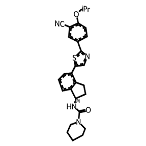 CC(C)Oc1ccc(-c2ncc(-c3cccc4c3CC[C@H]4NC(=O)N3CCCCC3)s2)cc1C#N